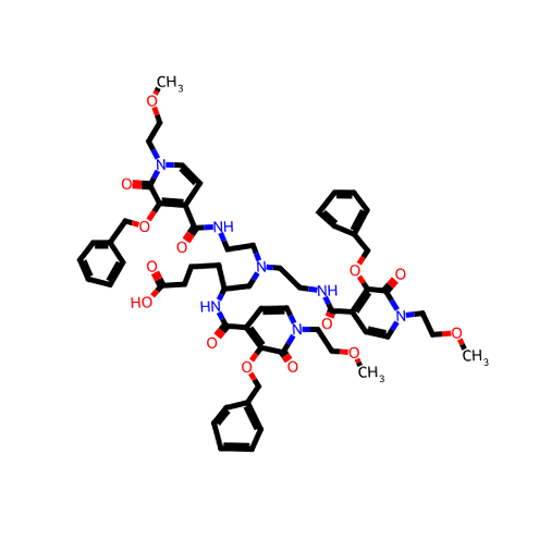 COCCn1ccc(C(=O)NCCN(CCNC(=O)c2ccn(CCOC)c(=O)c2OCc2ccccc2)CC(CCCC(=O)O)NC(=O)c2ccn(CCOC)c(=O)c2OCc2ccccc2)c(OCc2ccccc2)c1=O